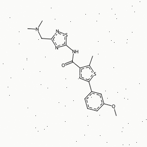 COc1cccc(-c2cc(C(=O)Nc3nc(CN(C)C)ns3)c(C)s2)c1